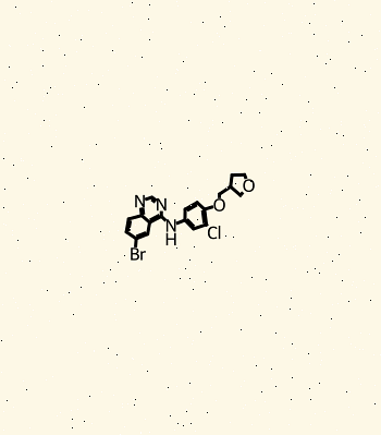 Clc1cc(Nc2ncnc3ccc(Br)cc23)ccc1OCC1CCOC1